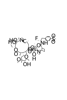 CC[C@H]1OC(=O)[C@H](C)[C@@H](C2C[C@@](C)(OC)[C@@H](O)[C@H](C)O2)[C@H](C)[C@@H](O[C@@H]2O[C@H](C)C[C@H](N(C)C3CC[C@@H]3C(=O)N[C@H](CF)Cc3ccc(S(C)(=O)=O)cc3)[C@H]2O)[C@](C)(O)C[C@@H](C)CN(C)[C@H](C)[C@@H](O)[C@]1(C)O